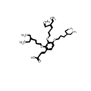 CCC(CC)CCCOc1ccc(C=CC(=O)O)c(OCCCC(CC)CC)c1OCCCC(CC)CC